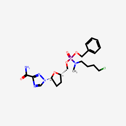 CN(CCCCCl)P(=O)(OCc1ccccc1)OC[C@@H]1CC[C@H](n2cnc(C(N)=O)n2)O1